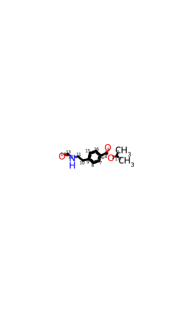 CC(C)OC(=O)c1ccc(CCN[C]=O)cc1